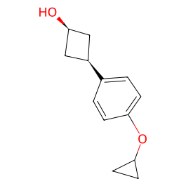 O[C@H]1C[C@@H](c2ccc(OC3CC3)cc2)C1